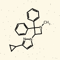 CN1CC(n2ccc(C3CC3)n2)C1(c1ccccc1)c1ccccc1